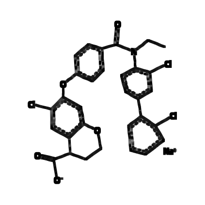 CCN(C(=O)c1ccc(Oc2cc3c(cc2Cl)C(C(=O)[O-])CCO3)cc1)c1ccc(-c2ccccc2Cl)cc1Cl.[Na+]